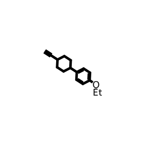 C#CC1CCC(c2ccc(OCC)cc2)CC1